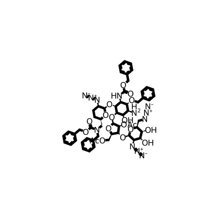 CC(=O)OC[C@H]1O[C@@H](O[C@@H]2[C@@H](O)[C@H](N)[C@@H](OCc3ccccc3)[C@H](NC(=O)OCc3ccccc3)[C@H]2O[C@H]2O[C@H](CN(Cc3ccccc3)C(=O)OCc3ccccc3)CC[C@H]2N=[N+]=[N-])[C@H](OC(C)=O)[C@@H]1O[C@H]1O[C@@H](CN=[N+]=[N-])[C@H](O)[C@H](O)[C@H]1N=[N+]=[N-]